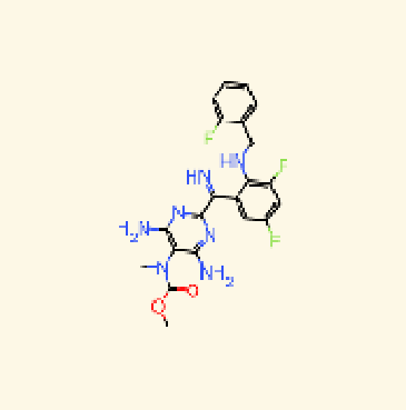 COC(=O)N(C)c1c(N)nc(C(=N)c2cc(F)cc(F)c2NCc2ccccc2F)nc1N